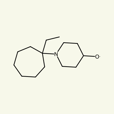 CCC1(N2CCC([O])CC2)CCCCCC1